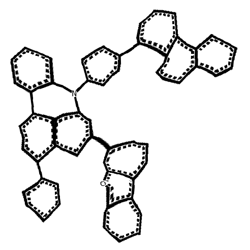 c1ccc(-c2ccc(-c3ccccc3N(c3ccc(-c4cccc5c4ccc4ccccc45)cc3)c3cccc(-c4cccc5c4oc4ccccc45)c3)cc2)cc1